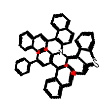 c1ccc(-c2ccc(N(c3ccc4ccccc4c3-c3ccc4ccccc4c3)c3cccc4sc5ccccc5c34)c(-c3cccc4ccccc34)c2)cc1